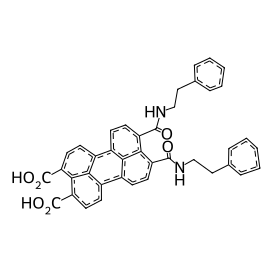 O=C(O)c1ccc2c3ccc(C(=O)NCCc4ccccc4)c4c(C(=O)NCCc5ccccc5)ccc(c5ccc(C(=O)O)c1c25)c43